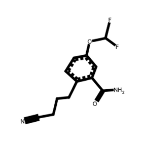 N#CCC[CH]c1ccc(OC(F)F)cc1C(N)=O